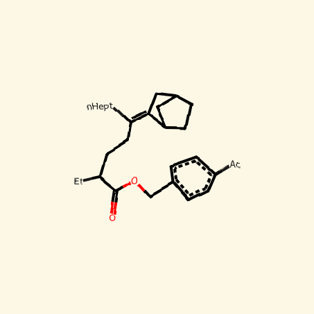 CCCCCCCC(CCC(CC)C(=O)OCc1ccc(C(C)=O)cc1)=C1CC2CCC1C2